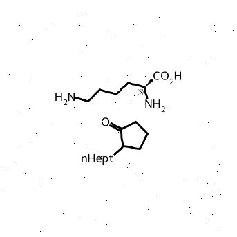 CCCCCCCC1CCCC1=O.NCCCC[C@H](N)C(=O)O